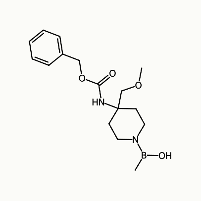 COCC1(NC(=O)OCc2ccccc2)CCN(B(C)O)CC1